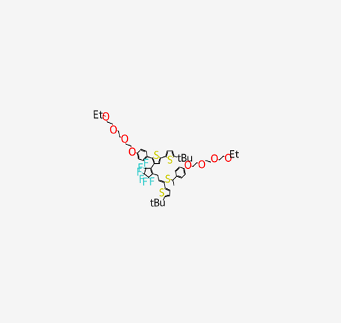 CCOCCOCCOCCOc1ccc(-c2sc(-c3ccc(C(C)(C)C)s3)cc2C2=C(C/C=C(\SC(C)c3ccc(OCCOCCOCCOCC)cc3)c3ccc(C(C)(C)C)s3)C(F)(F)C(F)(F)C2(F)F)cc1